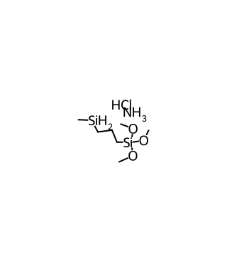 CO[Si](CCC[SiH2]C)(OC)OC.Cl.N